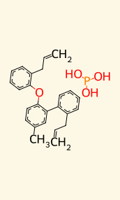 C=CCc1ccccc1Oc1ccc(C)cc1-c1ccccc1CC=C.OP(O)O